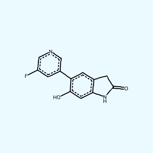 O=C1Cc2cc(-c3cncc(F)c3)c(O)cc2N1